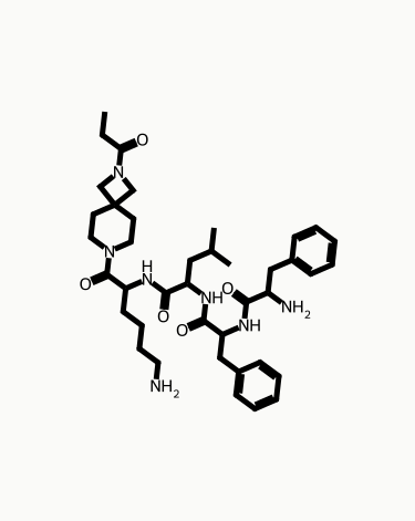 CCC(=O)N1CC2(CCN(C(=O)C(CCCCN)NC(=O)C(CC(C)C)NC(=O)C(Cc3ccccc3)NC(=O)C(N)Cc3ccccc3)CC2)C1